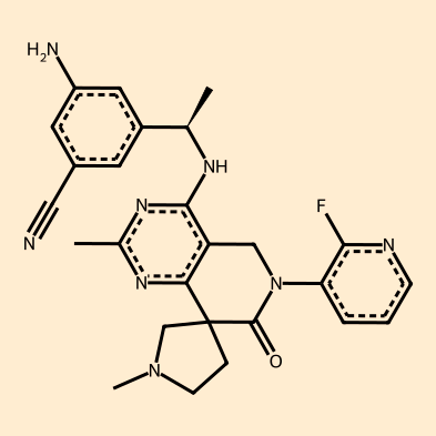 Cc1nc(N[C@H](C)c2cc(N)cc(C#N)c2)c2c(n1)C1(CCN(C)C1)C(=O)N(c1cccnc1F)C2